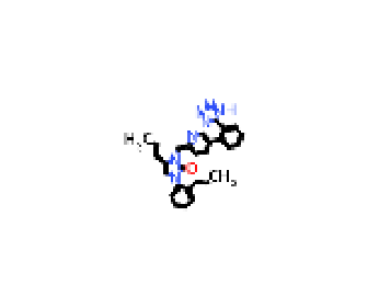 CCCc1ccccc1-n1cc(CCC)n(Cc2ccc(-c3ccccc3-c3nnn[nH]3)cn2)c1=O